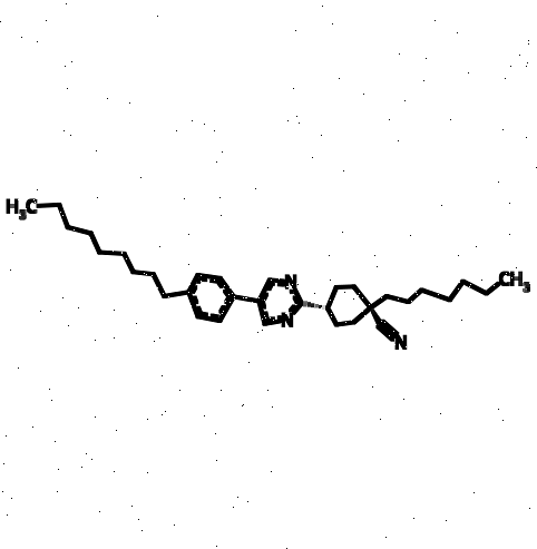 CCCCCCCCCc1ccc(-c2cnc([C@H]3CC[C@@](C#N)(CCCCCCC)CC3)nc2)cc1